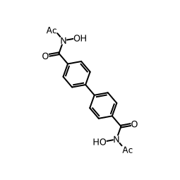 CC(=O)N(O)C(=O)c1ccc(-c2ccc(C(=O)N(O)C(C)=O)cc2)cc1